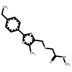 CCc1ccc(-c2nc(CSCC(=O)NC)c(C)o2)cc1